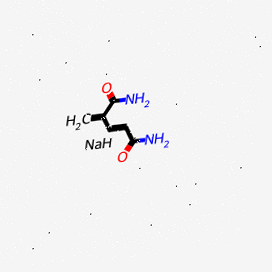 C=C(C=CC(N)=O)C(N)=O.[NaH]